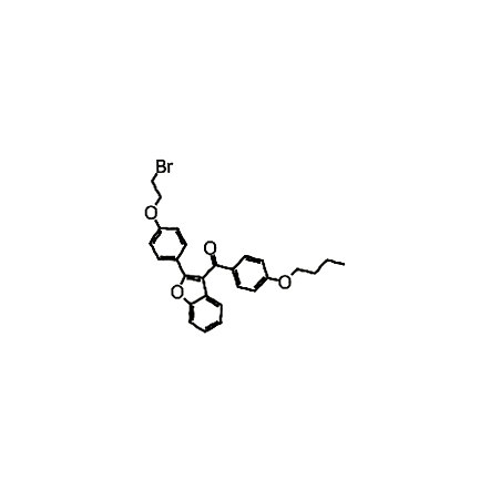 CCCCOc1ccc(C(=O)c2c(-c3ccc(OCCBr)cc3)oc3ccccc23)cc1